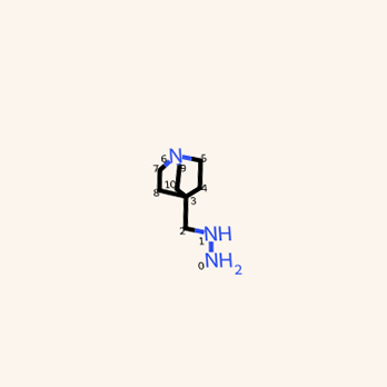 NNCC12CCN(CC1)CC2